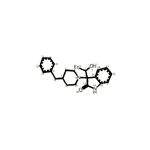 CCC(O)C1(N2CCC(Cc3ccccc3)CC2)C(=O)Nc2ccccc21